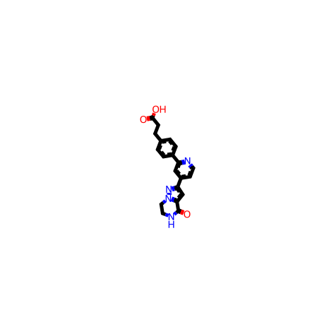 O=C(O)CCc1ccc(-c2cc(-c3cc4n(n3)CCNC4=O)ccn2)cc1